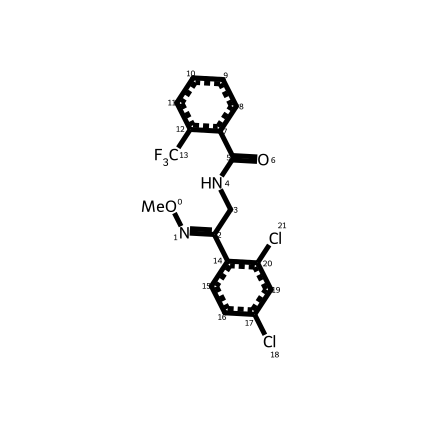 CON=C(CNC(=O)c1ccccc1C(F)(F)F)c1ccc(Cl)cc1Cl